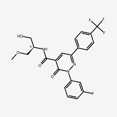 COC[C@@H](CO)NC(=O)c1cc(-c2ccc(C(F)(F)F)cc2)nn(-c2cccc(F)c2)c1=O